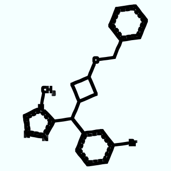 Cn1cnnc1C(c1cccc(Br)c1)C1CC(OCc2ccccc2)C1